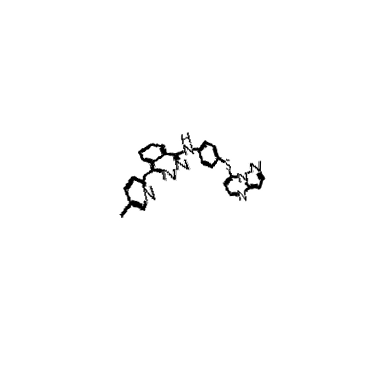 Cc1ccc(-c2nnc(Nc3ccc(Sc4ccnc5ccnn45)cc3)c3ccccc23)nc1